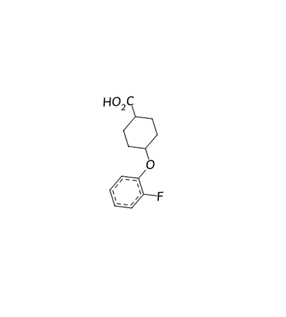 O=C(O)C1CCC(Oc2ccccc2F)CC1